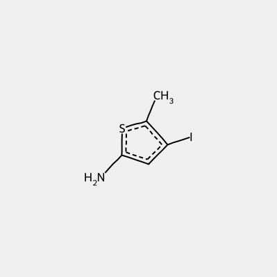 Cc1sc(N)cc1I